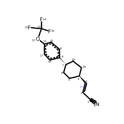 N#C/C=C/[C@H]1CC[C@H](c2ccc(OC(F)(F)F)cc2)CC1